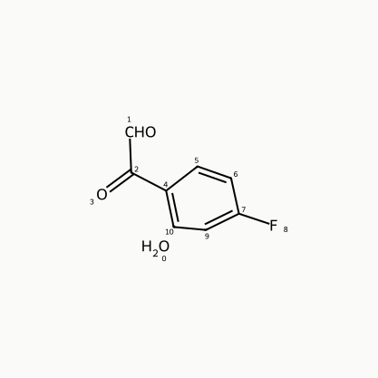 O.O=CC(=O)c1ccc(F)cc1